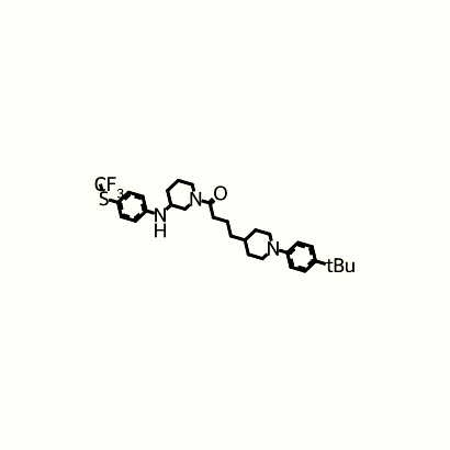 CC(C)(C)c1ccc(N2CCC(CCCC(=O)N3CCCC(Nc4ccc(SC(F)(F)F)cc4)C3)CC2)cc1